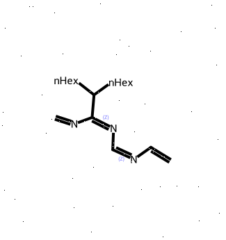 C=C/N=C\N=C(/N=C)C(CCCCCC)CCCCCC